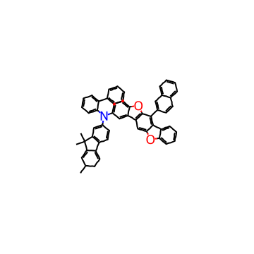 CC1C=C2C(=CC1)c1ccc(N(c3ccc4oc5c(-c6ccc7ccccc7c6)c6c(cc5c4c3)oc3ccccc36)c3ccccc3-c3ccccc3)cc1C2(C)C